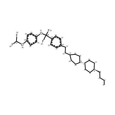 CCCC[C@H]1CC[C@H](C2CCC(CCc3ccc(C(F)(F)Oc4ccc(OC(F)F)cc4)cc3)CC2)CC1